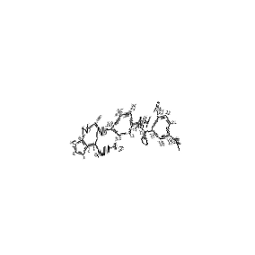 NC1=c2ccsc2=NCN1c1ccc(NC(=O)c2cc(F)ccc2F)cc1